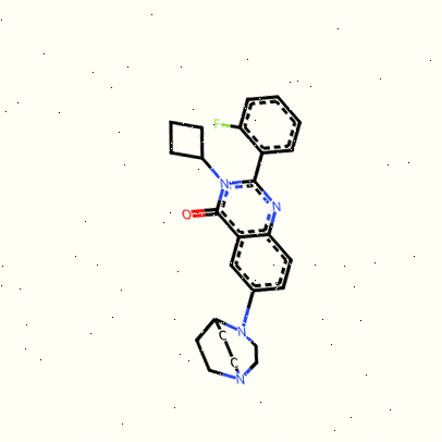 O=c1c2cc(N3CCN4CCC3CC4)ccc2nc(-c2ccccc2F)n1C1CCC1